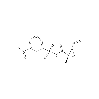 C=C[C@@H]1C[C@]1(C)C(=O)NS(=O)(=O)c1cccc(C(C)=O)c1